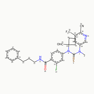 CN(C(=S)N(c1ccc(C(=O)NCCCc2ccccc2)c(F)c1)C1(C=O)CCC1)c1cnc(C#N)c(C(F)(F)F)c1